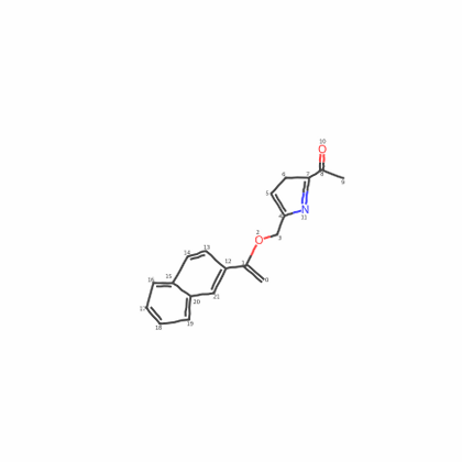 C=C(OCC1=CCC(C(C)=O)=N1)c1ccc2ccccc2c1